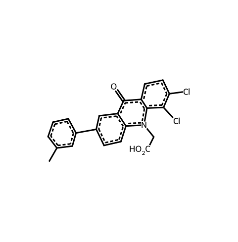 Cc1cccc(-c2ccc3c(c2)c(=O)c2ccc(Cl)c(Cl)c2n3CC(=O)O)c1